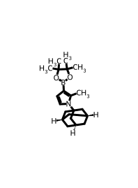 Cc1c(B2OC(C)(C)C(C)(C)O2)ccn1C12C[C@H]3C[C@@H](C1)C[C@@H](C2)C3